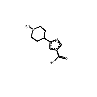 O=C(O)c1csc(C2CCN(P)CC2)n1